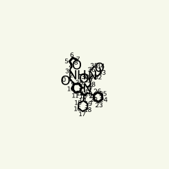 O=C(NCc1ccco1)c1ccc2c(C3CCCCC3)c(-c3ccccc3)n(CC(=O)N3CCOCC3)c2c1